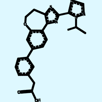 CC(C)n1ncnc1-c1nc2c(s1)CCOc1cc(-c3cccc(CC(=O)O)c3)ccc1-2